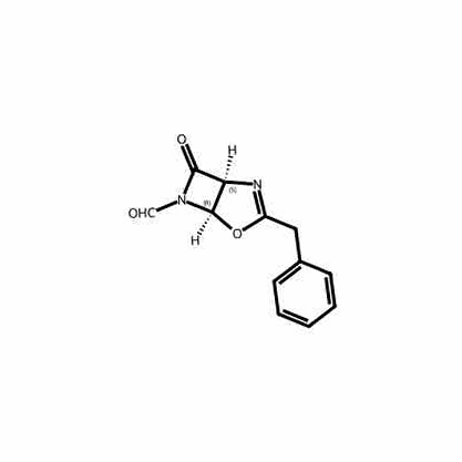 O=CN1C(=O)[C@H]2N=C(Cc3ccccc3)O[C@H]21